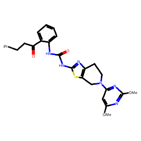 COc1cc(N2CCc3nc(NC(=O)Nc4ccccc4C(=O)CCC(C)C)sc3C2)nc(OC)n1